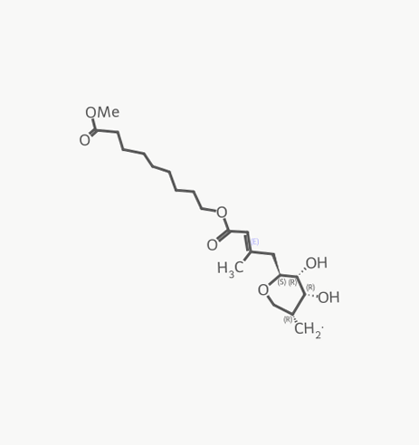 [CH2][C@@H]1CO[C@@H](C/C(C)=C/C(=O)OCCCCCCCCC(=O)OC)[C@H](O)[C@@H]1O